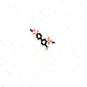 CCOS(=O)(=O)c1ccc(-c2ccc(CCl)c(S(=O)(=O)OCC)c2)cc1